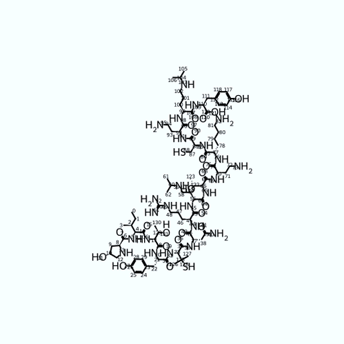 CC[C@H](C)[C@H](NC(=O)[C@@H]1C[C@@H](O)CN1)C(=O)N[C@H](C(=O)N[C@@H](Cc1ccc(O)cc1)C(=O)N[C@H](C(=O)N[C@@H](CC(N)=O)C(=O)N[C@@H](CCCNC(=N)N)C(=O)N[C@@H](CCNC(C)C)C(=O)N[C@H](C(=O)N[C@H](CCN)C(=O)N[C@@H](CCCCN)C(=O)N[C@@H](CS)C(=O)N[C@@H](CCN)C(=O)N[C@@H](CCCNC(C)C)C(=O)N[C@@H](Cc1ccc(O)cc1)C(=O)O)[C@@H](C)O)C(C)(C)S)[C@@H](C)O